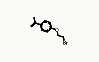 C=C(C)c1ccc(OCCBr)cc1